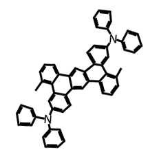 Cc1cccc2c3cc4c(cc3c3ccc(N(c5ccccc5)c5ccccc5)cc3c12)c1cccc(C)c1c1cc(N(c2ccccc2)c2ccccc2)ccc41